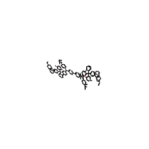 C=Cc1ccc(Oc2ccc(C3(c4cc(C)ccc4C)c4ccccc4-c4ccc(C(c5ccc(F)cc5)c5ccc(-c6ccc(N(c7ccc(F)cc7)c7ccc8c(c7)C(c7ccc(Oc9ccc(C=C)cc9)cc7)(c7cc(C)ccc7C)c7ccccc7-8)cc6)cc5)cc43)cc2)cc1